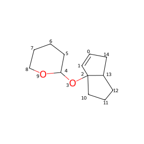 C1=CC2(OC3CCCCO3)CCCC2C1